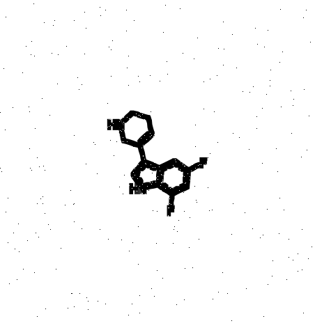 Fc1cc(F)c2[nH]cc(C3=CCCNC3)c2c1